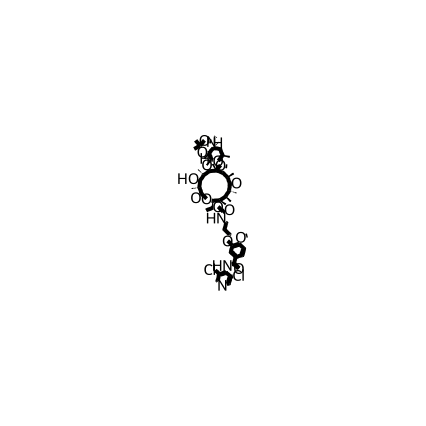 CC[C@H]1OC(=O)[C@H](C)[C@@H](O)[C@H](C)[C@@H](O[C@@H]2O[C@H](C)C[C@H]3[C@H]2OC(C)(C)ON3C)[C@](C)(OC)C[C@@H](C)C(=O)[C@H](C)[C@@H](C)[C@]1(C)OC(=O)NCCCOc1cc(C(=O)Nc2c(Cl)cncc2Cl)ccc1OC